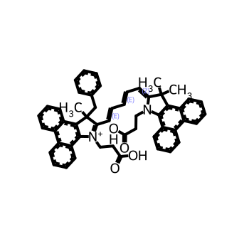 CC1(Cc2ccccc2)C(/C=C/C=C/C=C2\N(CCC(=O)O)c3c(c4ccccc4c4ccccc34)C2(C)C)=[N+](CCC(=O)O)c2c1c1ccccc1c1ccccc21